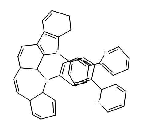 C1=CNC(c2ccc(-n3c4c(c5c3C3C(C=C5)C=CC5C=CC=CC5N3c3ccc(-c5ccccn5)cc3)C=CCC4)cc2)C=C1